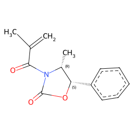 C=C(C)C(=O)N1C(=O)O[C@@H](c2ccccc2)[C@H]1C